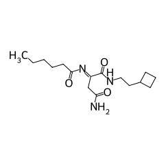 CCCCCC(=O)/N=C(\CC(N)=O)C(=O)NCCC1CCC1